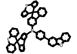 c1ccc2c(c1)Sc1ccccc1C21c2ccccc2-c2cc(N(c3ccc(-c4ccc5oc6ccccc6c5c4)cc3)c3ccc4c(c3)-c3ccccc3C43c4ccccc4Sc4ccccc43)ccc21